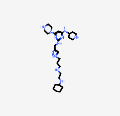 c1c(NC2CCNCC2)nc(NCc2cn(CCCNCCNC3CCCCC3)nn2)nc1N1CCNCC1